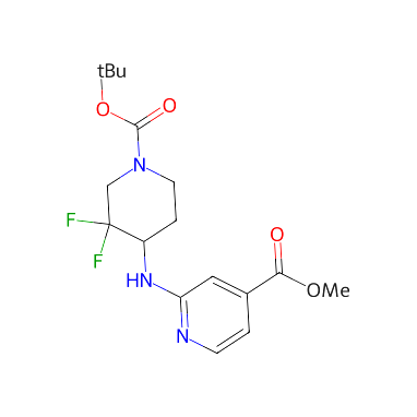 COC(=O)c1ccnc(NC2CCN(C(=O)OC(C)(C)C)CC2(F)F)c1